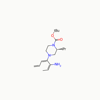 C=C/C=C(\C(N)=C/C)N1CCN(C(=O)OC(C)(C)C)[C@@H](C(C)C)C1